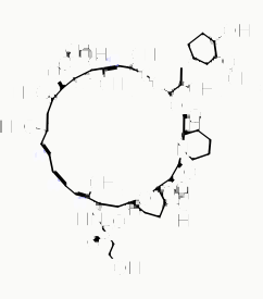 CO[C@@H]1C[C@H](C[C@@H](C)[C@@H]2CC[C@H](C)/C=C(\C)[C@@H](O)[C@@H](OC)C(=O)[C@H](C)C[C@H](C)/C=C/C=C/C=C(\C)[C@H](NS(=O)(=O)CCO)C[C@@H]3CC[C@@H](C)[C@@](O)(O3)C(=O)C(=O)N3CCCC[C@H]3C(=O)O2)CC[C@H]1O